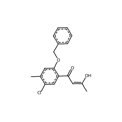 C/C(O)=C/C(=O)c1cc(Cl)c(C)cc1OCc1ccccc1